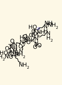 COC(=O)CC[C@H](NC(=O)[C@@H]1CCCN1C(=O)[C@@H](CCCN)NC(=O)CNC(=O)[C@H](C)NC(=O)[C@@H](NC(=O)[C@@H](N)CCCCN)[C@@H](O)CN)C(=O)N[C@@H](CCCCN)C(=O)N/C(=C\CCNC(=N)N)C(=O)O